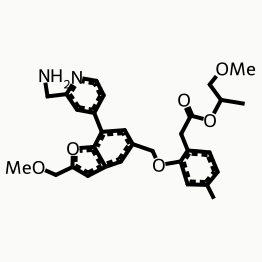 COCc1cc2cc(COc3cc(C)ccc3CC(=O)OC(C)COC)cc(-c3ccnc(CN)c3)c2o1